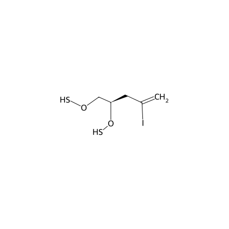 C=C(I)C[C@H](COS)OS